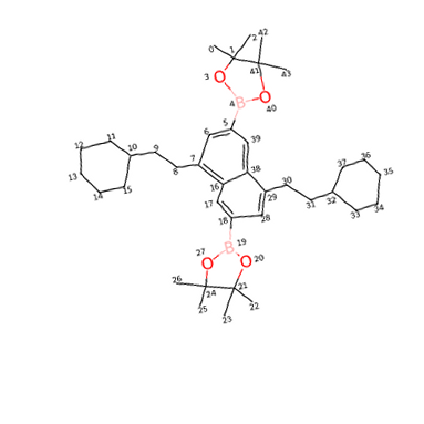 CC1(C)OB(c2cc(CCC3CCCCC3)c3cc(B4OC(C)(C)C(C)(C)O4)cc(CCC4CCCCC4)c3c2)OC1(C)C